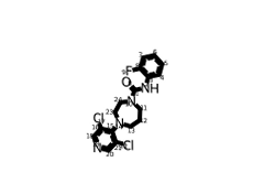 O=C(Nc1ccccc1F)N1CCCN(c2c(Cl)cncc2Cl)CC1